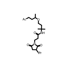 CC(=O)CCC(C)OCCC(C)(C)NC(=O)CCN1C(=O)CC(C(C)C)C1=O